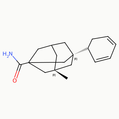 C[C@]12CC3CC(C(N)=O)(C1)C[C@@](C1C=CC=CC1)(C3)C2